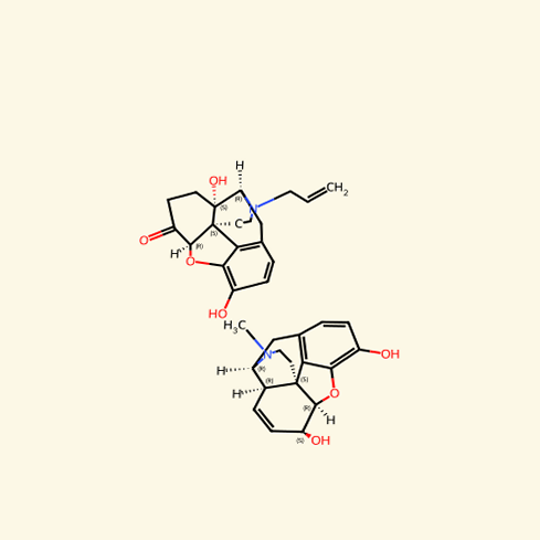 C=CCN1CC[C@]23c4c5ccc(O)c4O[C@H]2C(=O)CC[C@@]3(O)[C@H]1C5.CN1CC[C@]23c4c5ccc(O)c4O[C@H]2[C@@H](O)C=C[C@H]3[C@H]1C5